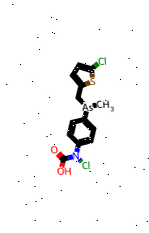 C[As](Cc1ccc(Cl)s1)c1ccc(N(Cl)C(=O)O)cc1